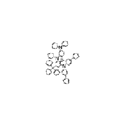 c1ccc(-c2ccc(N3c4ccc(-c5ccccc5)cc4B4c5ccc(N(c6ccccc6)c6ccccc6)cc5N(c5ccccc5)c5cc(C(c6ccccc6)(c6ccccc6)c6ccccc6)cc3c54)cc2)cc1